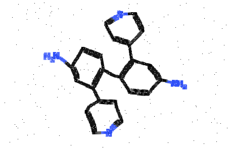 Nc1ccc(-c2ccc(N)cc2-c2ccncc2)c(-c2ccncc2)c1